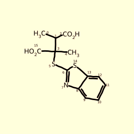 CC(C(=O)O)C(C)(Sc1nc2ccccc2s1)C(=O)O